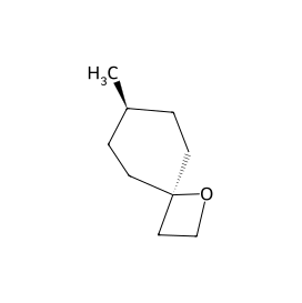 C[C@H]1CC[C@]2(CCO2)CC1